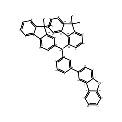 CC1(C)c2ccccc2-c2ccc(N(c3cccc(-c4ccc5oc6ccccc6c5c4)c3)c3cccc4c3-c3ccccc3C4(C)C)cc21